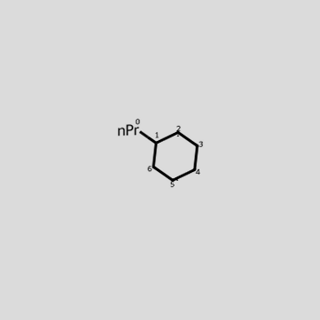 CCCC1[CH]CC[CH]C1